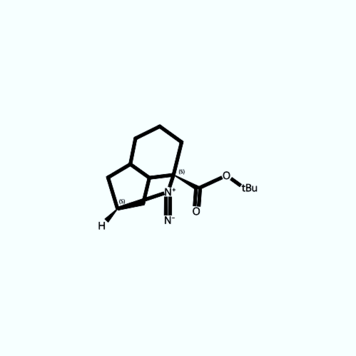 CC(C)(C)OC(=O)[C@]12CCCC3C[C@@H](CC31)[N+]2=[N-]